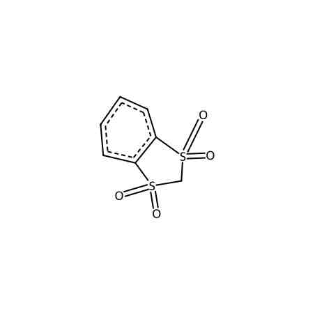 O=S1(=O)CS(=O)(=O)c2ccccc21